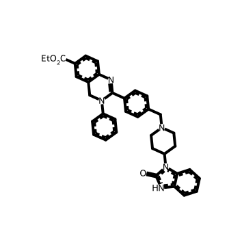 CCOC(=O)c1ccc2c(c1)CN(c1ccccc1)C(c1ccc(CN3CCC(n4c(=O)[nH]c5ccccc54)CC3)cc1)=N2